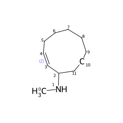 CNC1/C=C\CCCCCCC1